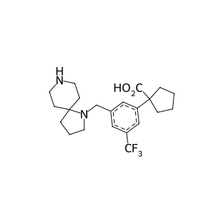 O=C(O)C1(c2cc(CN3CCCC34CCNCC4)cc(C(F)(F)F)c2)CCCC1